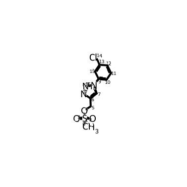 CS(=O)(=O)OCc1cn(-c2cccc(Cl)c2)nn1